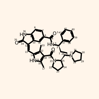 CC[C@@H](NC(=O)c1ccc2c(c1)C(=Cc1[nH]c(C)c(C(=O)N3CCC[C@@H]3CN3CCCC3)c1C)C(=O)N2)c1ccccc1